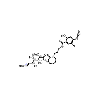 CO[C@@H](C(=O)N[C@H]1CCCCN(CCCNC(=O)c2cc(I)c(N=[N+]=[N-])cc2O)C1=O)[C@H](O)[C@@H](O)[C@H](O)/C=C/C(C)(C)C